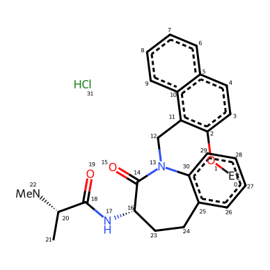 CCOc1ccc2ccccc2c1CN1C(=O)[C@@H](NC(=O)[C@H](C)NC)CCc2ccccc21.Cl